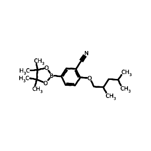 CC(C)CC(C)COc1ccc(B2OC(C)(C)C(C)(C)O2)cc1C#N